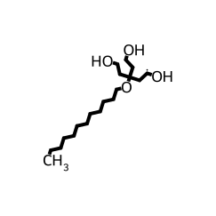 CCCCCCCCCCCCOC(C[CH]O)(CCO)CCO